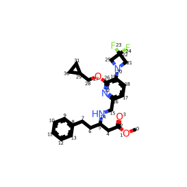 COC(=O)CC(CCc1ccccc1)NCc1ccc(N2CC(F)(F)C2)c(OCC2CC2)n1